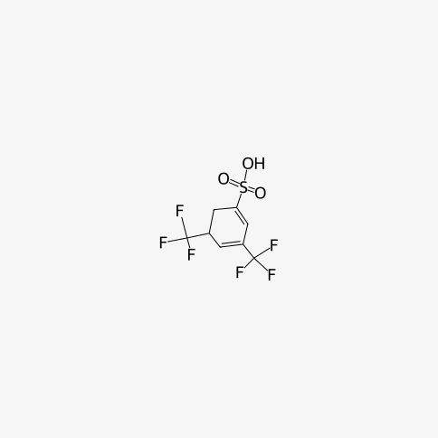 O=S(=O)(O)C1=CC(C(F)(F)F)=CC(C(F)(F)F)C1